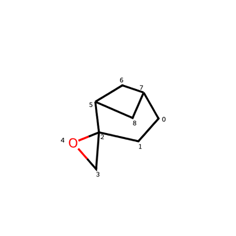 C1CC2(CO2)C2CC1C2